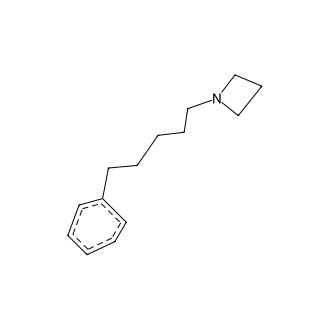 c1ccc(CCCCCN2CCC2)cc1